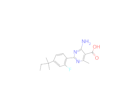 CCC(C)(C)c1ccc(-c2nc(C)c(C(=O)O)c(N)n2)c(F)c1